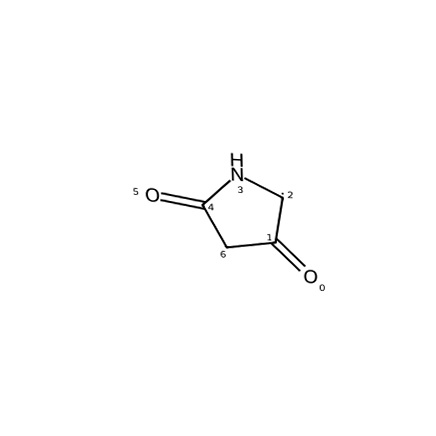 O=C1[CH]NC(=O)C1